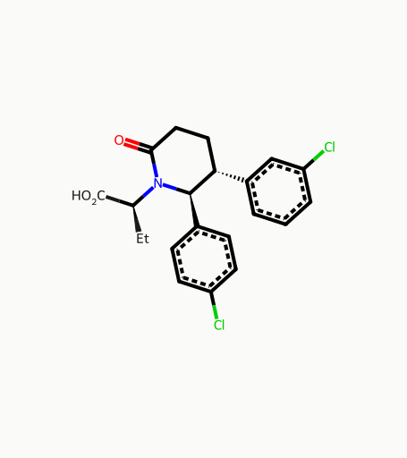 CC[C@@H](C(=O)O)N1C(=O)CC[C@H](c2cccc(Cl)c2)[C@H]1c1ccc(Cl)cc1